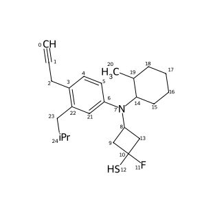 C#CCc1ccc(N(C2CC(F)(S)C2)C2CCCCC2C)cc1CC(C)C